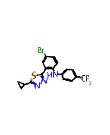 FC(F)(F)c1ccc(Nc2ccc(Br)cc2-c2nnc(C3CC3)s2)cc1